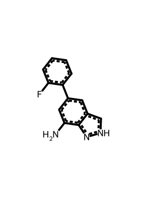 Nc1cc(-c2ccccc2F)cc2c[nH]nc12